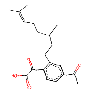 CC(=O)c1ccc(C(=O)C(=O)O)c(CCC(C)CCC=C(C)C)c1